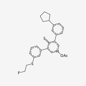 CC(=O)On1cc(-c2cccc(SCCF)c2)c(=S)c(-c2cccc(C3CCCC3)c2)c1